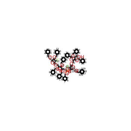 O=P(OCc1ccccc1)(OCC(OCc1ccccc1)C(OCc1ccccc1)C(CO[C@@H]1O[C@H](COCc2ccccc2)C(OCc2ccccc2)C1F)OCc1ccccc1)OC1C(F)[C@H](OCC(OCc2ccccc2)C(OCc2ccccc2)C(CO)OCc2ccccc2)O[C@@H]1COCc1ccccc1